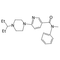 CCC(CC)N1CCN(c2ccc(C(=O)N(C)c3ccccc3)cn2)CC1